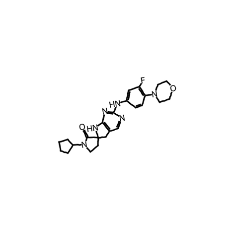 O=C1N(C2CCCC2)CCC12Cc1cnc(Nc3ccc(N4CCOCC4)c(F)c3)nc1N2